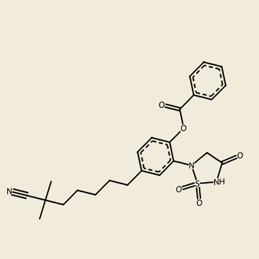 CC(C)(C#N)CCCCCc1ccc(OC(=O)c2ccccc2)c(N2CC(=O)NS2(=O)=O)c1